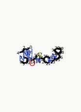 Cc1cc(C)n(-c2ncccc2NC(=O)c2csc(C3CCN(Cc4ccc5ccccc5n4)CC3)n2)n1